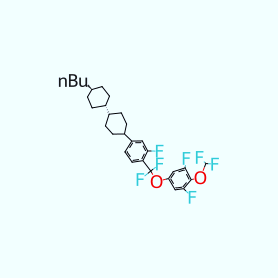 CCCC[C@H]1CC[C@H](C2CCC(c3ccc(C(F)(F)Oc4cc(F)c(OC(F)F)c(F)c4)c(F)c3)CC2)CC1